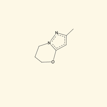 Cc1cc2n(n1)CCCO2